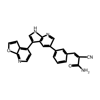 N#CC(=Cc1cccc(-c2cnc3[nH]cc(-c4ccnc5occc45)c3c2)c1)C(N)=O